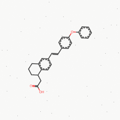 O=C(O)CC1CCCc2cc(/C=C/c3ccc(Oc4ccccc4)cc3)ccc21